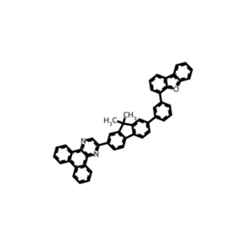 CC1(C)c2cc(-c3cccc(-c4cccc5c4oc4ccccc45)c3)ccc2-c2ccc(-c3cnc4c5ccccc5c5ccccc5c4n3)cc21